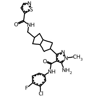 Cn1nc(C2CC3CC(CNC(=O)c4ccns4)CC3C2)c(C(=O)Nc2ccc(F)c(Cl)c2)c1N